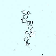 COc1cc2nccc(Nc3ccc(NC(=O)Nc4cccc(Br)c4)cc3)c2cc1OC